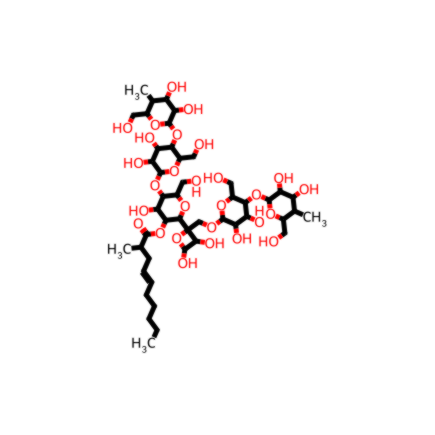 CCCCCC=CCC(C)C(=O)OC1C(O)C(OC2OC(CO)C(OC3OC(CO)C(C)C(O)C3O)C(O)C2O)C(CO)OC1C1(COC2OC(CO)C(OC3OC(CO)C(C)C(O)C3O)C(O)C2O)OC(O)C1O